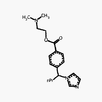 CCCC(c1ccc(C(=O)OCCN(C)C)cc1)n1ccnc1